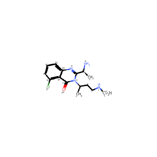 CC(CCNC(=O)O)n1c([C@H](C)N)nc2cccc(Cl)c2c1=O